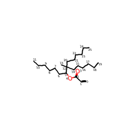 C=CC(=O)OC(CCCCCC)C(C)(CCCCCC)CCCCCC